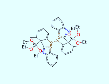 CCO[Si](OCC)(OCC)C1(c2nc3ccccc3s2)C(SSC2=CC=CC(C)C2(c2nc3ccccc3s2)[Si](OCC)(OCC)OCC)=CC=CC1C